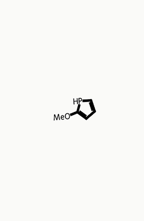 COc1ccc[pH]1